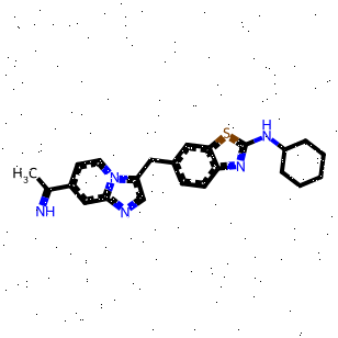 CC(=N)c1ccn2c(Cc3ccc4nc(NC5CCCCC5)sc4c3)cnc2c1